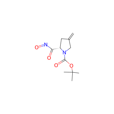 C=C1C[C@@H](C(=O)N=O)N(C(=O)OC(C)(C)C)C1